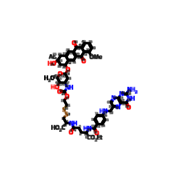 CCOC(=O)[C@@H](CCC(=O)N[C@H](CSSCCOC(=O)N[C@@H]1C[C@H](O[C@H]2C[C@](O)(C(C)=O)Cc3cc4c(cc32)C(=O)c2c(OC)cccc2C4=O)O[C@@H](C)[C@H]1O)C(=O)O)NC(=O)c1ccc(NCc2cnc3nc(N)[nH]c(=O)c3n2)cc1